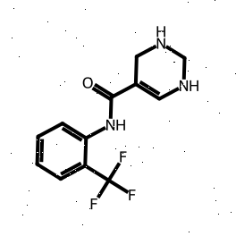 O=C(Nc1ccccc1C(F)(F)F)C1=CNCNC1